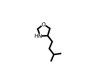 CC(C)CCC1COCN1